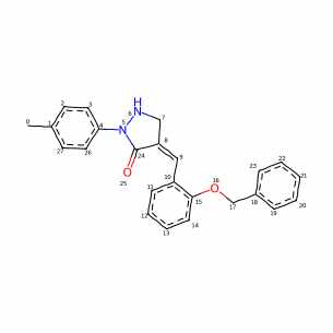 Cc1ccc(N2NC/C(=C/c3ccccc3OCc3ccccc3)C2=O)cc1